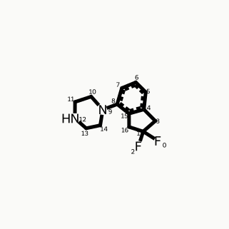 FC1(F)Cc2cccc(N3CCNCC3)c2C1